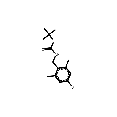 Cc1cc(Br)cc(C)c1CNC(=O)OC(C)(C)C